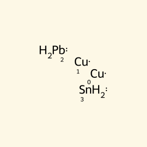 [Cu].[Cu].[PbH2].[SnH2]